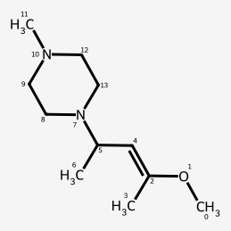 CO/C(C)=C/C(C)N1CCN(C)CC1